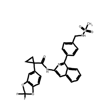 CS(=O)(=O)NCc1ccc(-c2nc(NC(=O)C3(c4ccc5c(c4)OC(F)(F)O5)CC3)cc3ccccc23)cc1